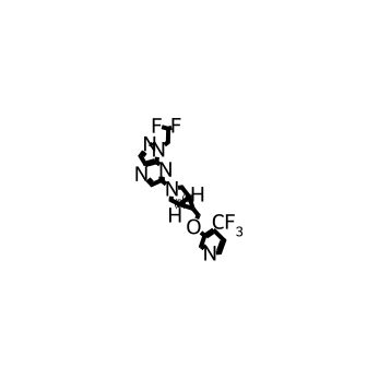 FC(F)Cn1ncc2ncc(N3C[C@@H]4C(COc5cnccc5C(F)(F)F)[C@@H]4C3)nc21